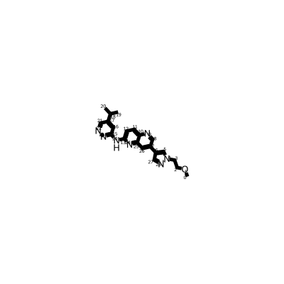 COCCn1cc(-c2cnc3ccc(Nc4cc(C(C)C)cnn4)nc3c2)cn1